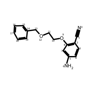 N#Cc1ccc(N)cc1OCCOCc1ccccc1